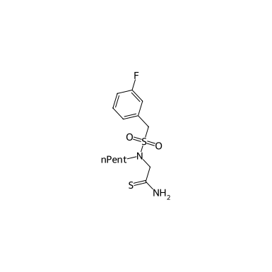 CCCCCN(CC(N)=S)S(=O)(=O)Cc1cccc(F)c1